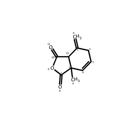 C=C1CC=CC2(C)C(=O)OC(=O)C12